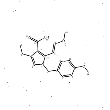 CCc1nn(Cc2ccc(OC)cc2)c(C=COC)c1C(=O)O